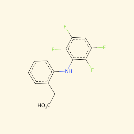 O=C(O)Cc1ccccc1Nc1c(F)c(F)cc(F)c1F